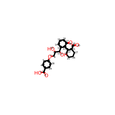 O=C(O)c1ccc(OCC(O)C(O)c2cccc3oc(=O)c4c(c23)CCCC4)cc1